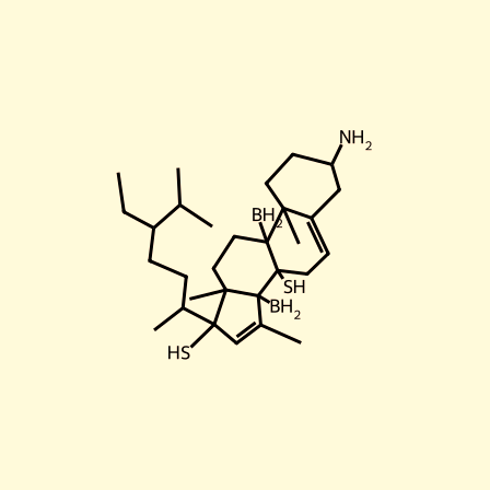 BC12CCC3(C)C(S)(C(C)CCC(CC)C(C)C)C=C(C)C3(B)C1(S)CC=C1CC(N)CCC12C